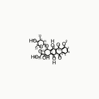 COc1cccc2c1C(=O)c1c(O)c3c(c(O)c1C2=O)C[C@@](O)(C(=O)CO)C[C@@H]3O[C@@H]1C[C@H](C)[C@H](O)[C@H](C)O1